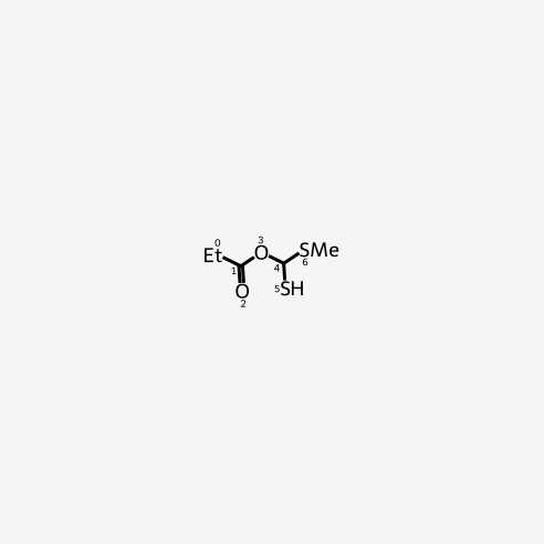 CCC(=O)OC(S)SC